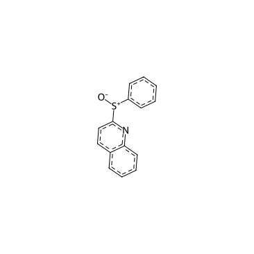 [O-][S+](c1ccccc1)c1ccc2ccccc2n1